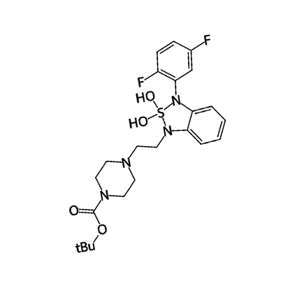 CC(C)(C)OC(=O)N1CCN(CCN2c3ccccc3N(c3cc(F)ccc3F)S2(O)O)CC1